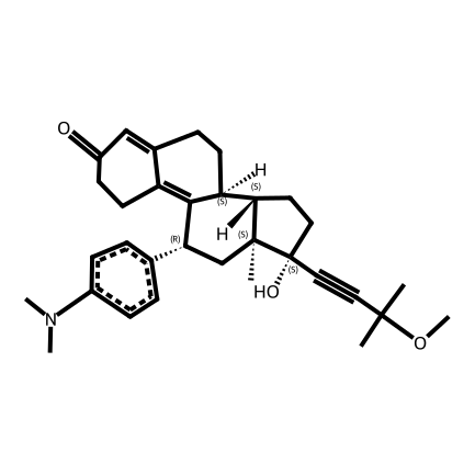 COC(C)(C)C#C[C@]1(O)CC[C@H]2[C@@H]3CCC4=CC(=O)CCC4=C3[C@@H](c3ccc(N(C)C)cc3)C[C@@]21C